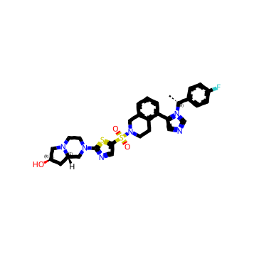 C[C@H](c1ccc(F)cc1)n1cncc1-c1cccc2c1CCN(S(=O)(=O)c1cnc(N3CCN4C[C@H](O)C[C@H]4C3)s1)C2